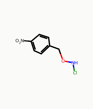 O=[N+]([O-])c1ccc(CONCl)cc1